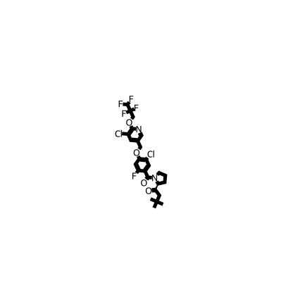 CC(C)(C)CC(=O)[C@@H]1CCCN1C(=O)c1cc(Cl)c(OCc2cnc(OCC(F)(F)C(F)F)c(Cl)c2)cc1F